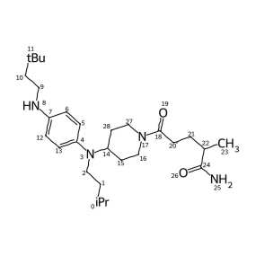 CC(C)CCN(c1ccc(NCCC(C)(C)C)cc1)C1CCN(C(=O)[CH]CC(C)C(N)=O)CC1